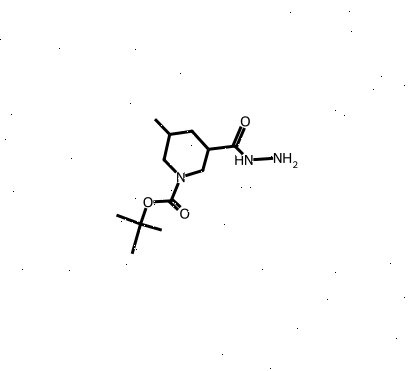 CC1CC(C(=O)NN)CN(C(=O)OC(C)(C)C)C1